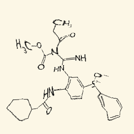 CCC(=O)N(C(=N)Nc1cc([S+]([O-])c2ccccc2)ccc1NC(=O)C1CCCCC1)C(=O)OC